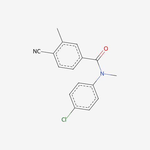 Cc1cc(C(=O)N(C)c2ccc(Cl)cc2)ccc1C#N